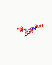 CCCCCC(OC(=O)CNCC(=O)O)OC(=O)CNCC(=O)O